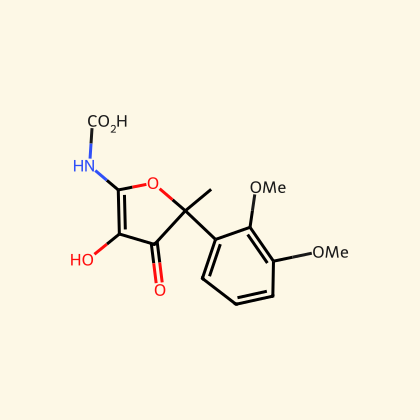 COc1cccc(C2(C)OC(NC(=O)O)=C(O)C2=O)c1OC